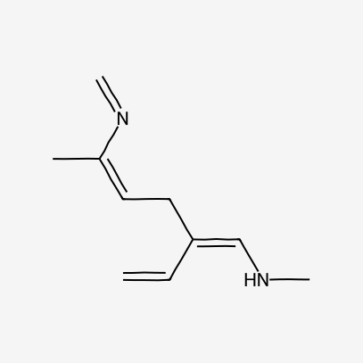 C=C/C(=C\NC)C/C=C(/C)N=C